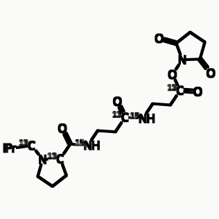 [13CH3][13CH]([13CH3])[13CH2]N1CCC[13CH]1C(=O)[15NH]CC[13C](=O)[15NH]CC[13C](=O)ON1C(=O)CCC1=O